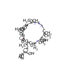 C=C1[C@H](C)CC/C=C/C=C/C=C(\C)[C@@H](OC)C[C@@H]2CC[C@@H](C)[C@@](O)(O2)C(=O)C(=O)N2CCCC[C@H]2C(=O)O[C@H]([C@H](C)C[C@@H]2CC[C@H](n3cnnn3)[C@H](CO)C2)CC(=O)[C@H](C)/C=C(\C)[C@@H](O)[C@H]1CO